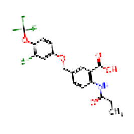 CCC(=O)Nc1ccc(COc2ccc(OC(F)(F)F)c(Br)c2)cc1C(=O)O